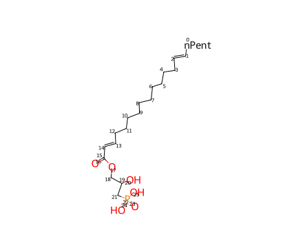 CCCCCC=CCCCCCCCCCCC=CC(=O)OCC(O)CP(=O)(O)O